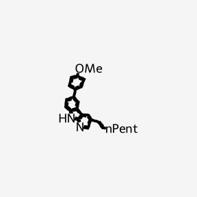 CCCCCC=Cc1cnc2[nH]c3ccc(-c4ccc(OC)cc4)cc3c2c1